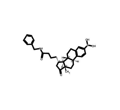 C[C@]12CC[C@@H]3c4ccc(B(O)O)cc4CC[C@H]3[C@@H]1[C@@H](CCCC(=O)NCc1ccccc1)CC2=O